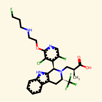 C[C@@H](CN1[C@H](c2c(F)cnc(OCCNCCCF)c2Cl)c2[nH]c3ccccc3c2C[C@H]1C(F)(F)F)C(=O)O